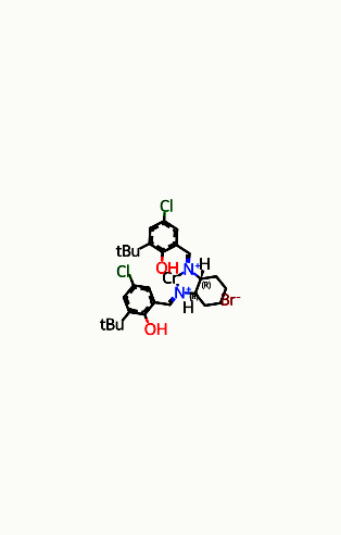 CC(C)(C)c1cc(Cl)cc(C=[N+]2[Cr][N+](=Cc3cc(Cl)cc(C(C)(C)C)c3O)[C@@H]3CCCC[C@H]32)c1O.[Br-]